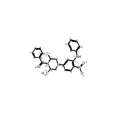 CC1CN(c2ccc([N+](=O)[O-])c(Nc3ccccc3)c2)CC(C)N1C(=O)c1ccccc1